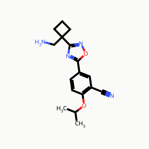 CC(C)Oc1ccc(-c2nc(C3(CN)CCC3)no2)cc1C#N